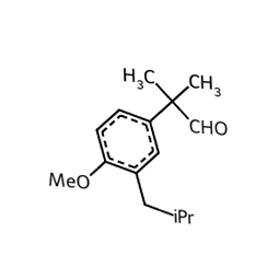 COc1ccc(C(C)(C)C=O)cc1CC(C)C